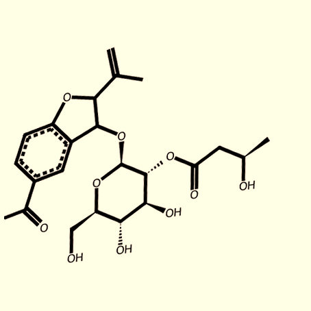 C=C(C)C1Oc2ccc(C(C)=O)cc2C1O[C@@H]1O[C@H](CO)[C@@H](O)[C@H](O)[C@H]1OC(=O)C[C@@H](C)O